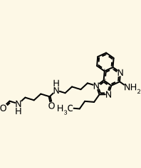 CCCCc1nc2c(N)nc3ccccc3c2n1CCCCNC(=O)CCCNC=O